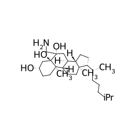 CC(C)CCC[C@@H](C)[C@H]1CC[C@H]2[C@@H]3C[C@](O)(CN)[C@@]4(O)C[C@@H](O)CC[C@]4(C)[C@H]3CC[C@]12C